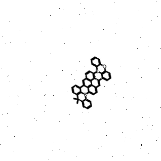 CC1(C)c2ccccc2B2c3c(cccc31)-c1cc3ccc4c5c(cc6ccc2c1c6c35)-c1cccc2c1B4c1ccccc1O2